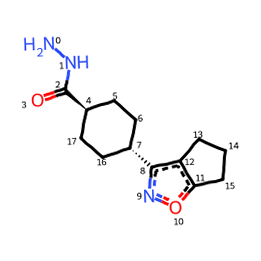 NNC(=O)[C@H]1CC[C@H](c2noc3c2CCC3)CC1